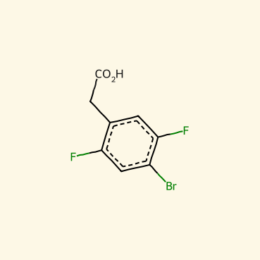 O=C(O)Cc1cc(F)c(Br)cc1F